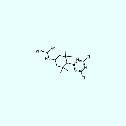 CCCC(NC1CC(C)(C)N(c2nc(Cl)nc(Cl)n2)C(C)(C)C1)C(C)=O